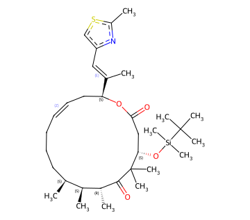 C/C(=C\c1csc(C)n1)[C@@H]1C/C=C\CCC[C@H](C)[C@H](C)[C@@H](C)C(=O)C(C)(C)[C@@H](O[Si](C)(C)C(C)(C)C)CC(=O)O1